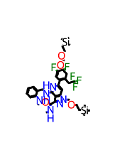 CNC(=O)c1nn(COCC[Si](C)(C)C)c2cc(C3=C(CC(F)(F)F)CC(F)(OCOCC[Si](C)(C)C)C(F)=C3)nc(NCc3ccccc3NC)c12